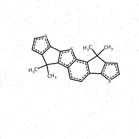 CC1(C)c2ccsc2-c2sc3c4c(ccc3c21)-c1sccc1C4(C)C